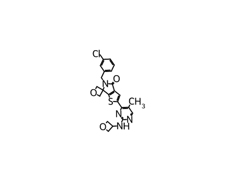 Cc1cnc(NC2COC2)nc1-c1cc2c(s1)C1(COC1)N(Cc1cccc(Cl)c1)C2=O